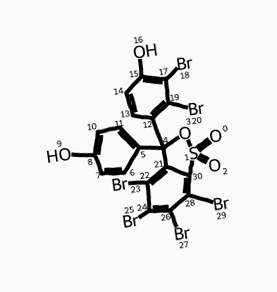 O=S1(=O)OC(c2ccc(O)cc2)(c2ccc(O)c(Br)c2Br)c2c(Br)c(Br)c(Br)c(Br)c21